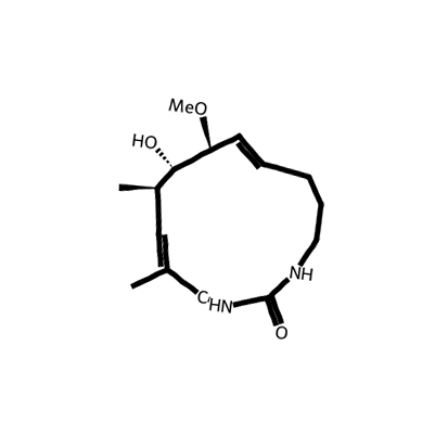 CO[C@H]1/C=C/CCCNC(=O)NC/C(C)=C\[C@@H](C)[C@@H]1O